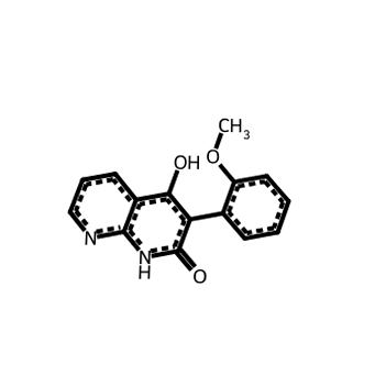 COc1ccccc1-c1c(O)c2cccnc2[nH]c1=O